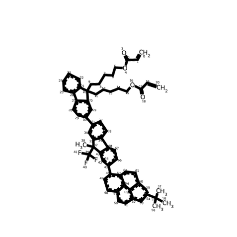 C=CC(=O)OCCCCCC1(CCCCCOC(=O)C=C)c2ccccc2-c2ccc(-c3ccc4c(c3)C(C)(C(F)(F)F)c3cc(-c5ccc6ccc7cc(C(C)(C)C)cc8ccc5c6c78)ccc3-4)cc21